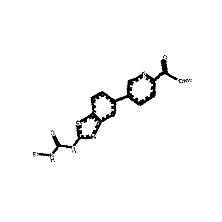 CCNC(=O)Nc1nc2cc(-c3ccc(C(=O)OC)nc3)ccc2s1